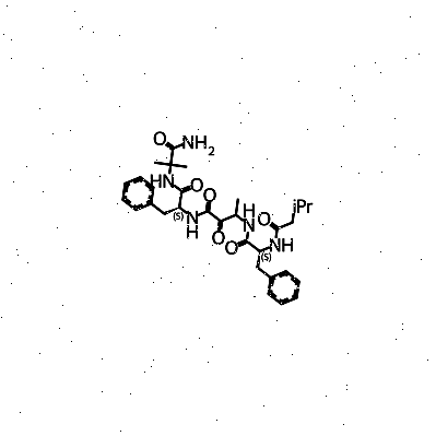 CC(C)CC(=O)N[C@@H](Cc1ccccc1)C(=O)NC(C)C(=O)C(=O)N[C@@H](Cc1ccccc1)C(=O)NC(C)(C)C(N)=O